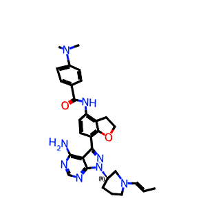 CC=CN1CCC[C@@H](n2nc(-c3ccc(NC(=O)c4ccc(N(C)C)cc4)c4c3OCC4)c3c(N)ncnc32)C1